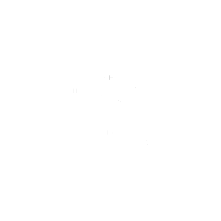 CC(C)(C)C(=O)C(O)C=S